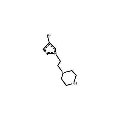 CC(C)c1cnn(CCN2CCNCC2)c1